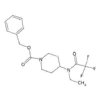 CCN(C(=O)C(F)(F)F)C1CCN(C(=O)OCc2ccccc2)CC1